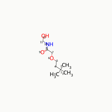 CC(C)(C)CCOCC(=O)NCO